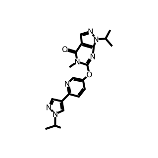 CC(C)n1cc(-c2ccc(Oc3nc4c(cnn4C(C)C)c(=O)n3C)cn2)cn1